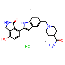 Cl.NC(=O)C1CCN(Cc2ccc3[nH]c(-c4ccc(O)c5c4C(=O)NC5)cc3c2)CC1